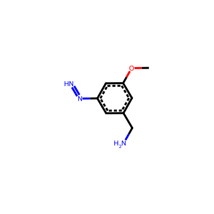 COc1cc(CN)cc(N=N)c1